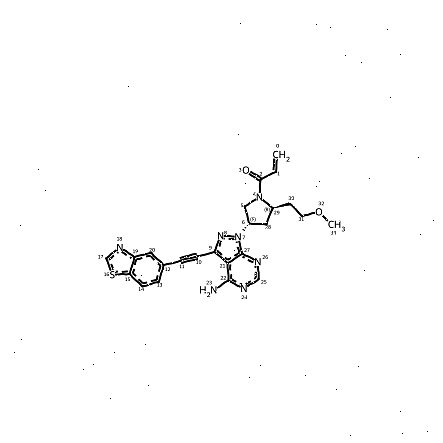 C=CC(=O)N1C[C@@H](n2nc(C#Cc3ccc4scnc4c3)c3c(N)ncnc32)C[C@@H]1CCOC